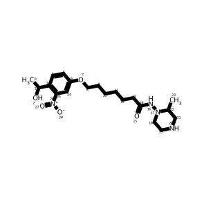 CC(O)c1ccc(OCCCCCCC(=O)NN2CCNCC2C)cc1[N+](=O)[O-]